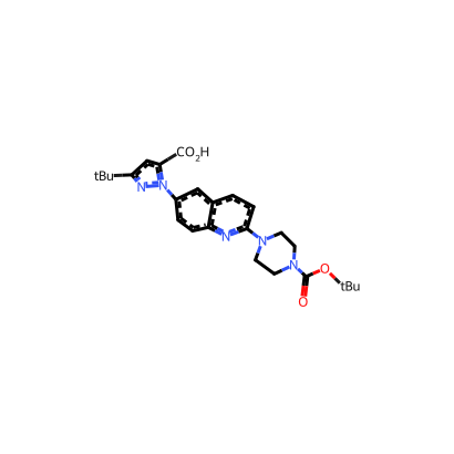 CC(C)(C)OC(=O)N1CCN(c2ccc3cc(-n4nc(C(C)(C)C)cc4C(=O)O)ccc3n2)CC1